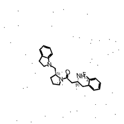 N[C@@H](CC(=O)N1CCC[C@H]1CN1CCc2ccccc21)Cc1ccccc1F